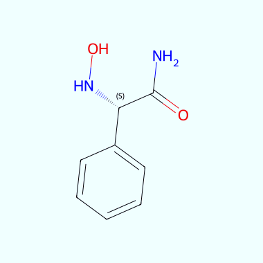 NC(=O)[C@@H](NO)c1ccccc1